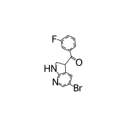 O=C(c1cccc(F)c1)C1CNc2ncc(Br)cc21